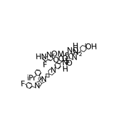 COc1nc2[nH]cc(F)c2cc1Oc1cc(N2CCC3(CC2)CC(N2CC4CN(Cc5ccc(F)cc5)CC4[C@H]2c2ccccc2C(C)C)C3)ccc1C(=O)NS(=O)(=O)c1cnc(NCC2CCC(C)(O)CC2)c([N+](=O)[O-])c1